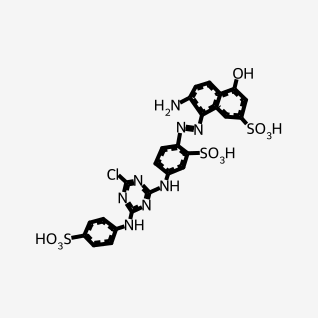 Nc1ccc2c(O)cc(S(=O)(=O)O)cc2c1N=Nc1ccc(Nc2nc(Cl)nc(Nc3ccc(S(=O)(=O)O)cc3)n2)cc1S(=O)(=O)O